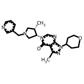 Cc1nn(C2CCOCC2)c2ncn([C@@H]3CN(Cc4cccnc4)C[C@@H]3C)c(=O)c12